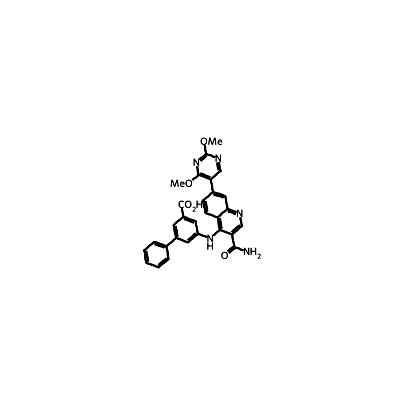 COc1ncc(-c2ccc3c(Nc4cc(C(=O)O)cc(-c5ccccc5)c4)c(C(N)=O)cnc3c2)c(OC)n1